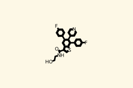 O=C(NCCO)c1csc2c(-c3ccc(F)cc3)c(-c3ccncc3)c(-c3ccc(F)cc3)cc12